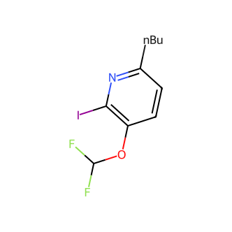 CCCCc1ccc(OC(F)F)c(I)n1